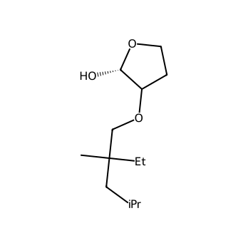 CCC(C)(COC1CCO[C@H]1O)CC(C)C